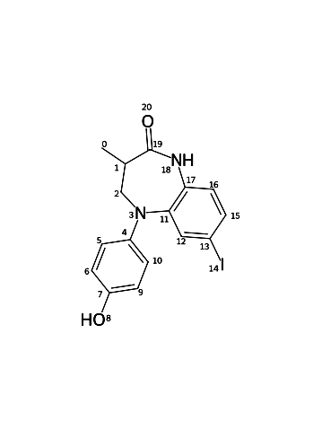 CC1CN(c2ccc(O)cc2)c2cc(I)ccc2NC1=O